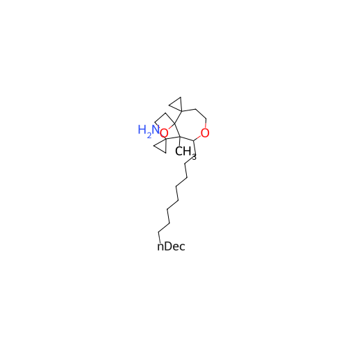 CCCCCCCCCCCCCCCCCCC1OCCC2(CC2)C2(CCO2)C1(C)C1(N)CC1